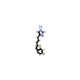 Fc1ccc2cc(C=CCc3c[nH]cn3)sc2c1